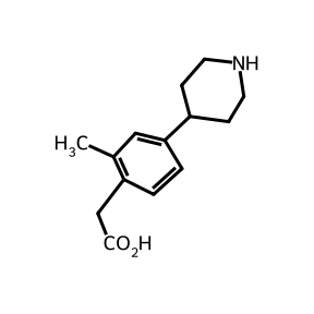 Cc1cc(C2CCNCC2)ccc1CC(=O)O